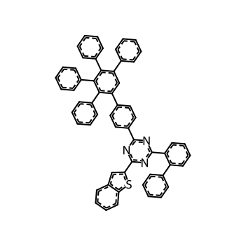 c1ccc(-c2ccccc2-c2nc(-c3ccc(-c4cc(-c5ccccc5)c(-c5ccccc5)c(-c5ccccc5)c4-c4ccccc4)cc3)nc(-c3cc4ccccc4s3)n2)cc1